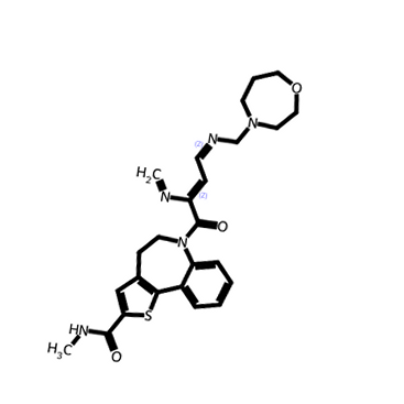 C=N/C(=C\C=N/CN1CCCOCC1)C(=O)N1CCc2cc(C(=O)NC)sc2-c2ccccc21